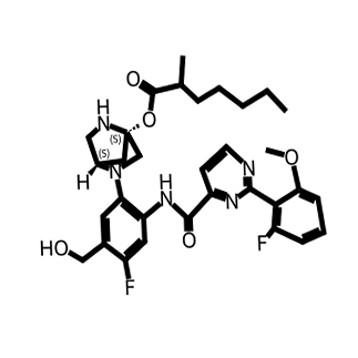 CCCCCC(C)C(=O)O[C@]12C[C@@H](CN1)N(c1cc(CO)c(F)cc1NC(=O)c1ccnc(-c3c(F)cccc3OC)n1)C2